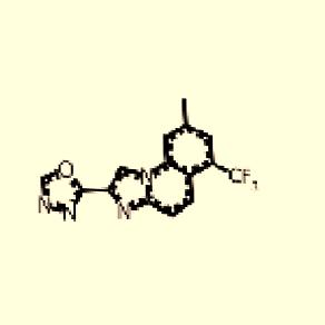 Cc1cc(C(F)(F)F)c2ccc3nc(-c4nnco4)cn3c2c1